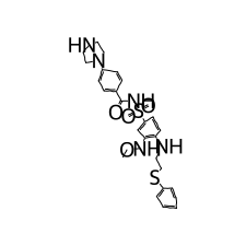 CONc1cc(S(=O)(=O)NC(=O)c2ccc(N3CCNCC3)cc2)ccc1NCCSc1ccccc1